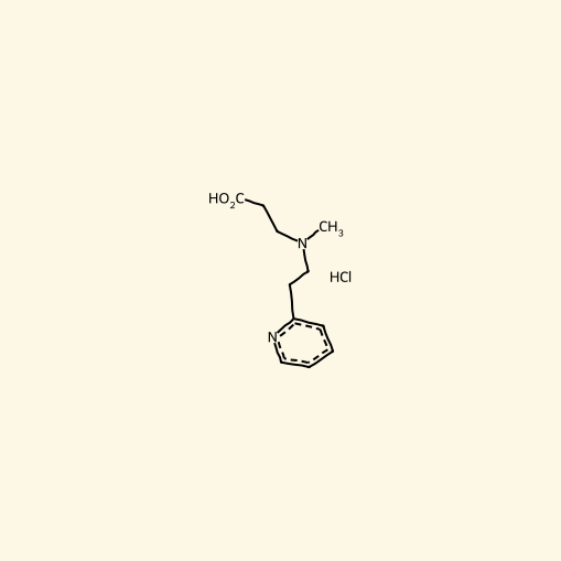 CN(CCC(=O)O)CCc1ccccn1.Cl